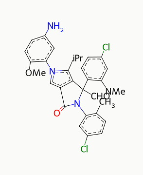 CNc1cc(Cl)ccc1C1(C=O)c2c(cn(-c3cc(N)ccc3OC)c2C(C)C)C(=O)N1c1cc(Cl)ccc1C